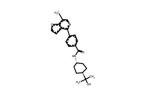 Cc1cnc(-c2ccc(C(=O)N[C@H]3CC[C@H](C(C)(C)O)CC3)cc2)c2ccoc12